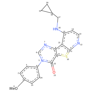 COc1ccc(-n2cnc3c(sc4nccc(NCC5CC5)c43)c2=O)cc1